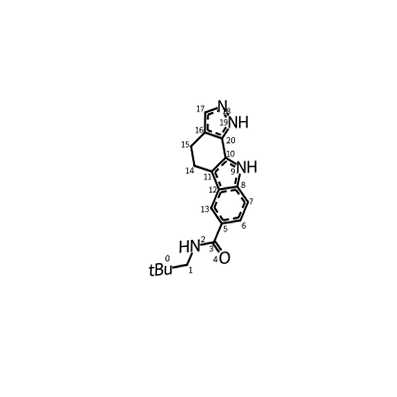 CC(C)(C)CNC(=O)c1ccc2[nH]c3c(c2c1)CCc1cn[nH]c1-3